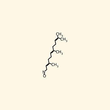 CC(C)=CCC/C(C)=C/CC/C(C)=C/CN=O